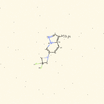 O=C(O)c1cnn2cc(N3CC(F)(F)C3)ccc12